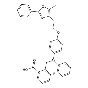 Cc1oc(-c2ccccc2)nc1CCOc1ccc([As](Cc2c(F)cccc2C(=O)O)c2ccccc2)cc1